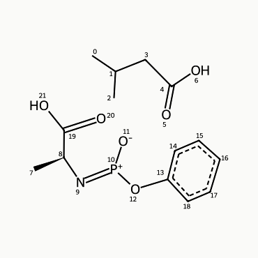 CC(C)CC(=O)O.C[C@H](N=[P+]([O-])Oc1ccccc1)C(=O)O